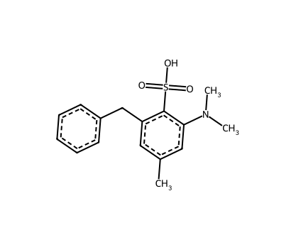 Cc1cc(Cc2ccccc2)c(S(=O)(=O)O)c(N(C)C)c1